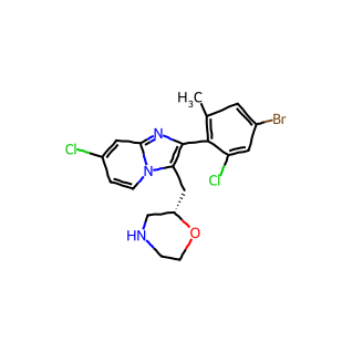 Cc1cc(Br)cc(Cl)c1-c1nc2cc(Cl)ccn2c1C[C@H]1CNCCO1